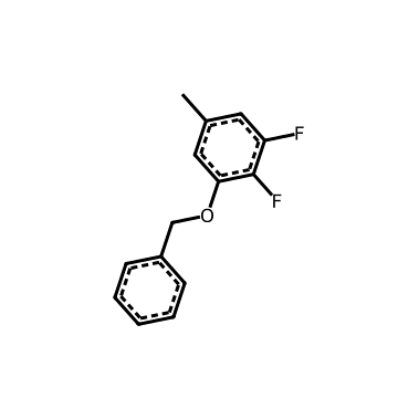 Cc1cc(F)c(F)c(OCc2ccccc2)c1